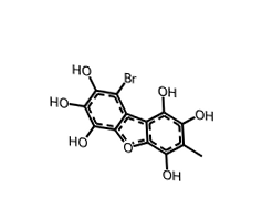 Cc1c(O)c(O)c2c(oc3c(O)c(O)c(O)c(Br)c32)c1O